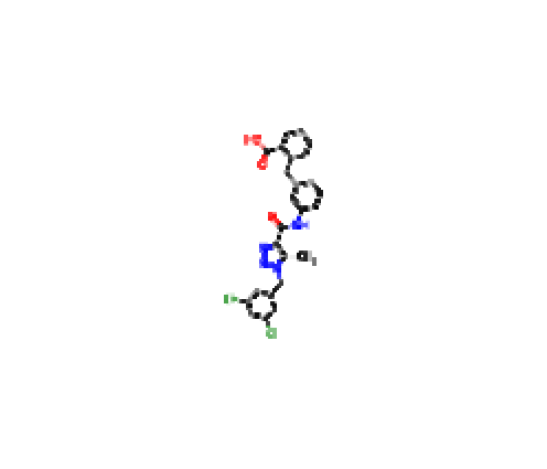 Cc1c(C(=O)Nc2cccc(Cc3ccccc3C(=O)O)c2)nnn1Cc1cc(Cl)cc(Cl)c1